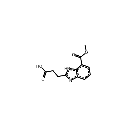 COC(=O)c1cccc2nc(CCC(=O)O)[nH]c12